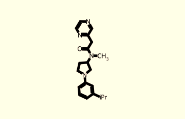 CC(C)c1cccc(N2CCC(N(C)C(=O)Cc3cnccn3)C2)c1